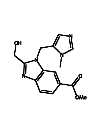 COC(=O)c1ccc2nc(CO)n(Cc3cncn3C)c2c1